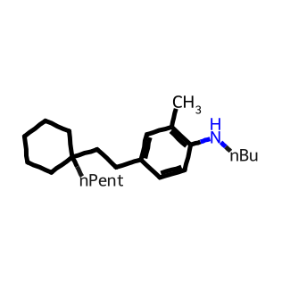 CCCCCC1(CCc2ccc(NCCCC)c(C)c2)CCCCC1